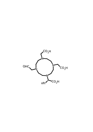 CCC[C@H](C(=O)O)N1CCN(CC=O)CCN(CC(=O)O)CCN(CC(=O)O)CC1